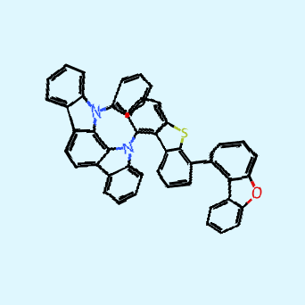 c1ccc(-n2c3ccccc3c3ccc4c5ccccc5n(-c5cccc6sc7c(-c8cccc9oc%10ccccc%10c89)cccc7c56)c4c32)cc1